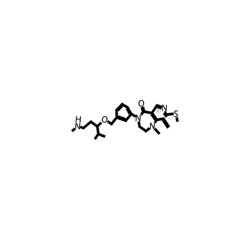 C=CC1=C(/C=N\C(=C)SC)C(=O)N(c2cccc(COC(CCNC)C(C)C)c2)CCN1C